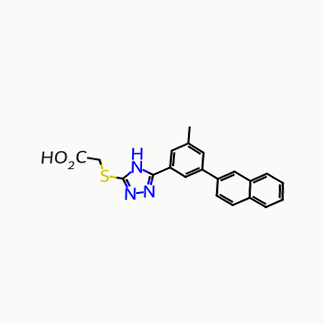 Cc1cc(-c2ccc3ccccc3c2)cc(-c2nnc(SCC(=O)O)[nH]2)c1